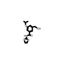 CC(C)Oc1cc(CO)cc(C(=O)Nc2nccs2)c1